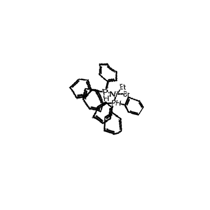 C[CH2][Ni]([Br])([PH](c1ccccc1)(c1ccccc1)c1ccccc1)[PH](c1ccccc1)(c1ccccc1)c1ccccc1